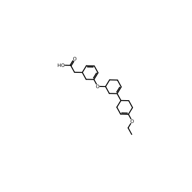 CCOC1=CCC(C2=CCCC(OC3=CC=CC(CC(=O)O)C3)C2)CC1